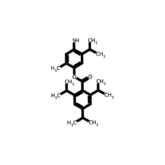 Cc1cc(S)c(C(C)C)cc1OC(=O)c1c(C(C)C)cc(C(C)C)cc1C(C)C